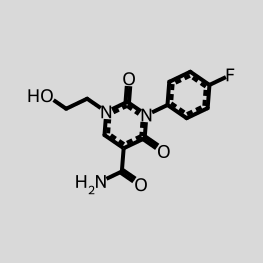 NC(=O)c1cn(CCO)c(=O)n(-c2ccc(F)cc2)c1=O